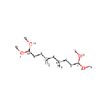 COC(CC[SiH2]C[SiH2]CCC(OC)OC)OC